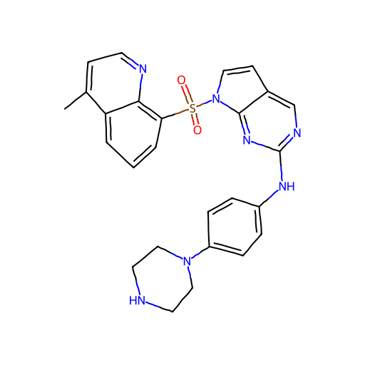 Cc1ccnc2c(S(=O)(=O)n3ccc4cnc(Nc5ccc(N6CCNCC6)cc5)nc43)cccc12